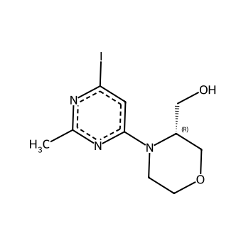 Cc1nc(I)cc(N2CCOC[C@H]2CO)n1